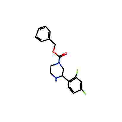 O=C(OCc1ccccc1)N1CCNC(c2ccc(F)cc2F)C1